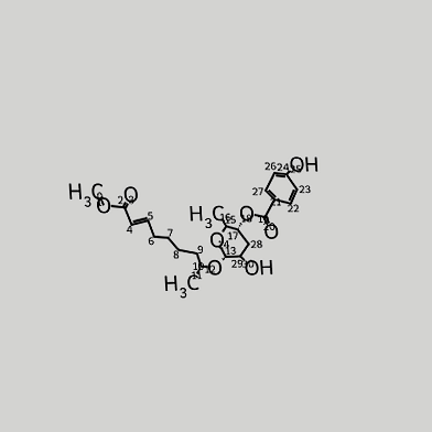 COC(=O)/C=C/CCCC[C@H](C)O[C@@H]1OC(C)[C@H](OC(=O)c2ccc(O)cc2)CC1O